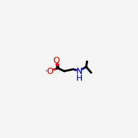 CC(C)NCCC([O])=O